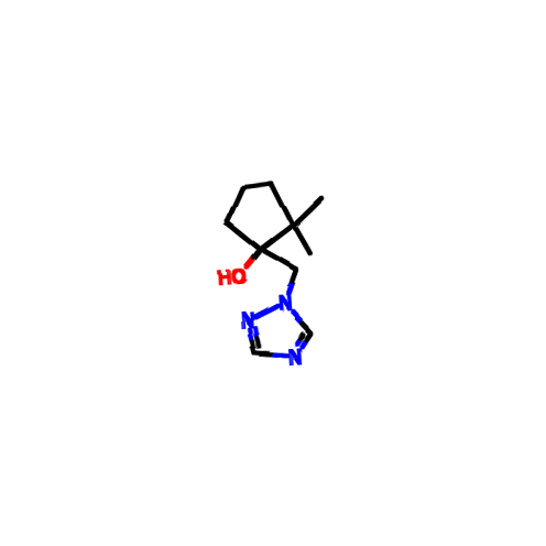 CC1(C)CCCC1(O)Cn1cncn1